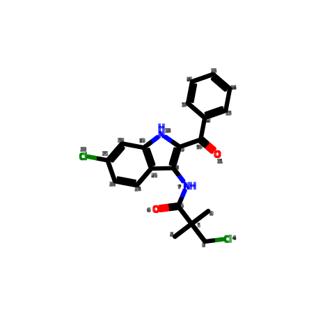 CC(C)(CCl)C(=O)Nc1c(C(=O)c2ccccc2)[nH]c2cc(Cl)ccc12